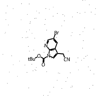 CC(C)(C)OC(=O)n1cc(CC#N)c2cc(Br)cnc21